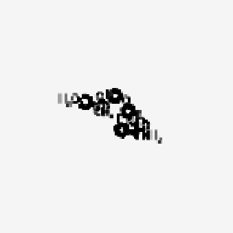 CN1CCC(N(C)C(=O)Nc2cc(Oc3ccc(N(C(=O)C4(C(N)=O)CC4)c4ccccc4F)c(F)c3)ccn2)CC1